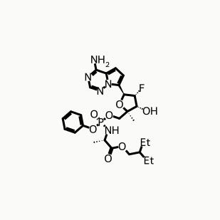 CCC(CC)COC(=O)[C@H](C)NP(=O)(OC[C@@]1(C)O[C@@H](c2ccc3c(N)ncnn23)[C@H](F)[C@@H]1O)Oc1ccccc1